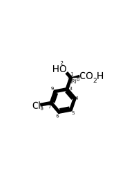 O=C(O)[C@H](O)c1cccc(Cl)c1